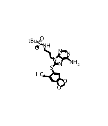 C#Cc1cc2c(cc1Sc1nc3c(N)ncnc3n1CCCNS(=O)(=O)C(C)(C)C)OCO2